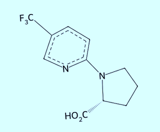 O=C(O)[C@H]1CCCN1c1ccc(C(F)(F)F)cn1